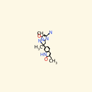 CCc1cc2ccc([C@@](C)(C#N)Cc3nc(C#N)cc(OC)n3)cc2[nH]c1=O